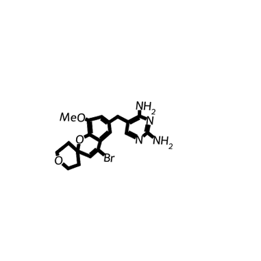 COc1cc(Cc2cnc(N)nc2N)cc2c1OC1(C=C2Br)CCOCC1